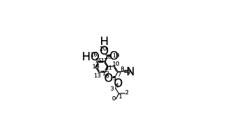 CC(C)COC(=O)C(C#N)=Cc1cccc(O)c1C(=O)O